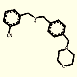 N#Cc1cccc(CNCc2ccc(CN3CCOCC3)cc2)c1